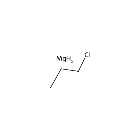 C[CH]CCl.[MgH2]